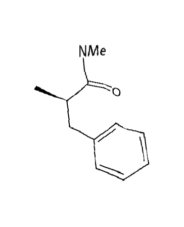 CNC(=O)[C@H](C)Cc1ccccc1